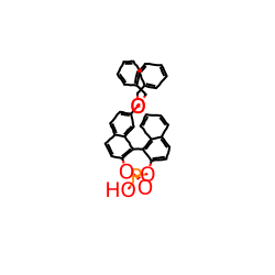 O=P1(O)Oc2ccc3ccc(OCc4ccccc4)cc3c2-c2c(ccc3ccc(OCc4ccccc4)cc23)O1